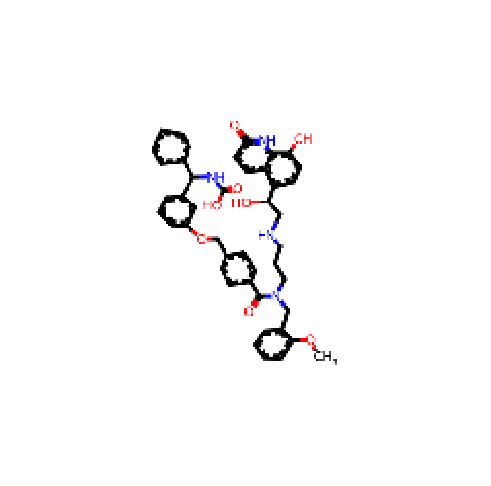 COc1ccccc1CN(CCCNC[C@@H](O)c1ccc(O)c2[nH]c(=O)ccc12)C(=O)c1ccc(COc2cccc(C(NC(=O)O)c3ccccc3)c2)cc1